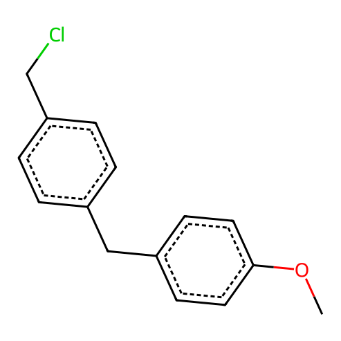 COc1ccc(Cc2ccc(CCl)cc2)cc1